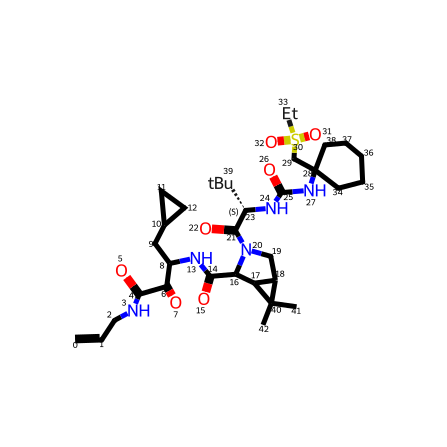 C=CCNC(=O)C(=O)C(CC1CC1)NC(=O)C1C2C(CN1C(=O)[C@@H](NC(=O)NC1(CS(=O)(=O)CC)CCCCC1)C(C)(C)C)C2(C)C